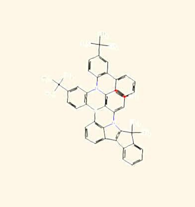 Cc1cc2c3c(c1)-n1c4c(c5cccc(c51)B3c1ccc(C(C)(C)C)cc1N2c1ccc(C(C)(C)C)cc1-c1ccccc1)-c1ccccc1C4(C)C